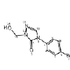 O=c1n(-c2ccc(Br)cc2)cnn1CO